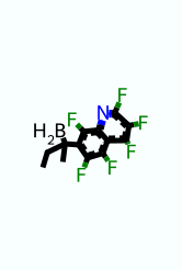 BC(C)(CC)c1c(F)c(F)c2c(F)c(F)c(F)nc2c1F